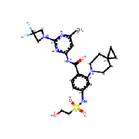 Cc1cc(NC(=O)c2ccc(NS(=O)(=O)CCO)cc2N2CCC3(CC2)CC3)nc(N2CC(F)(F)C2)n1